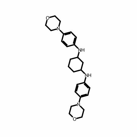 c1cc(N2CCOCC2)ccc1N[C]1CCCC(Nc2ccc(N3CCOCC3)cc2)C1